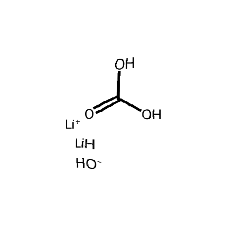 O=C(O)O.[Li+].[LiH].[OH-]